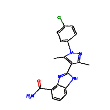 Cc1nn(-c2ccc(Cl)cc2)c(C)c1-c1nc2c(C(N)=O)cccc2[nH]1